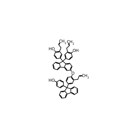 C=CCc1cc(C2(c3ccc(O)c(CC=C)c3)c3ccccc3-c3cc(Oc4ccc(C5(c6ccc(O)cc6)c6ccccc6-c6ccccc65)cc4CC=C)ccc32)ccc1O